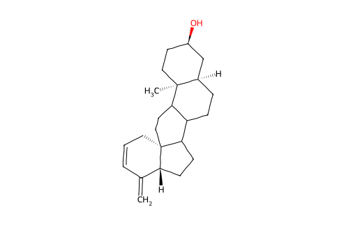 C=C1C=CC[C@]23CCC4C(CC[C@@H]5C[C@H](O)CC[C@]45C)C2CC[C@H]13